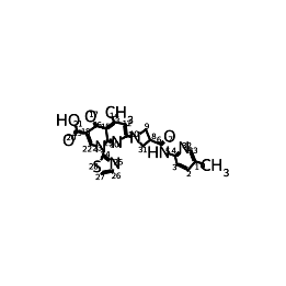 Cc1ccc(NC(=O)C2CN(c3cc(C)c4c(=O)c(C(=O)O)cn(-c5nccs5)c4n3)C2)nc1